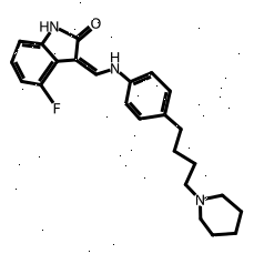 O=C1Nc2cccc(F)c2C1=CNc1ccc(CCCCN2CCCCC2)cc1